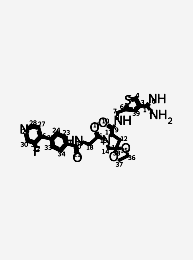 N=C(N)c1csc(CNC(=O)C2CC3(CN2C(=O)CNC(=O)c2ccc(-c4ccncc4F)cc2)OCCO3)c1